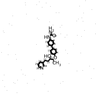 C[C@H](Oc1ccc(-c2ccc(NC(N)=O)cc2)cc1)[C@H](O)CCc1cccnc1